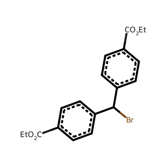 CCOC(=O)c1ccc(C(Br)c2ccc(C(=O)OCC)cc2)cc1